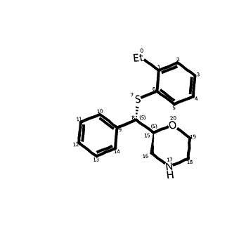 CCc1ccccc1S[C@@H](c1ccccc1)[C@@H]1CNCCO1